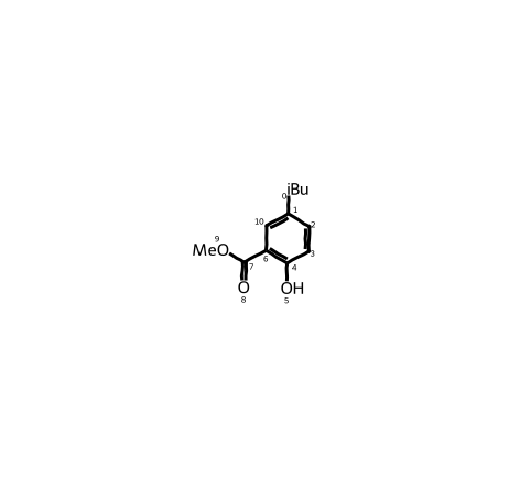 CCC(C)c1ccc(O)c(C(=O)OC)c1